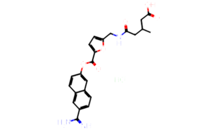 CC(CC(=O)O)CC(=O)NCc1ccc(C(=O)Oc2ccc3cc(C(=N)N)ccc3c2)o1.Cl